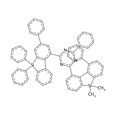 C[Si]1(C)c2cccc(-c3ccccc3)c2-c2c(-c3nc(-c4ccccc4)nc(-c4cc(-c5ccccc5)cc5c4-c4ccccc4[Si]5(c4ccccc4)c4ccccc4)n3)cccc21